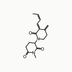 C=C1CCN(C2CCC(=O)N(C)C2=O)C(=O)/C1=C/C=C\C